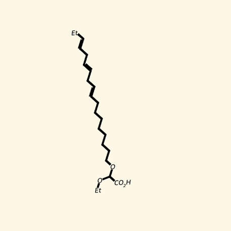 CCC=CCC=CCC=CCCCCCCCCOC(OCC)C(=O)O